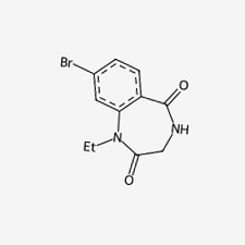 CCN1C(=O)CNC(=O)c2ccc(Br)cc21